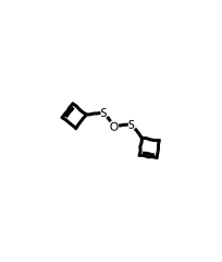 C1=CC(SOSC2C=CC2)C1